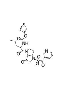 CCCC(NC(=O)Oc1ccsc1)C(=O)N1CCC2C1C(=O)CN2S(=O)(=O)C(=O)c1cccnc1